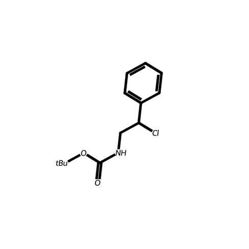 CC(C)(C)OC(=O)NCC(Cl)c1ccccc1